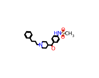 CS(=O)(=O)Nc1ccc(C(=O)C2CCN(CCCc3ccccc3)CC2)cc1